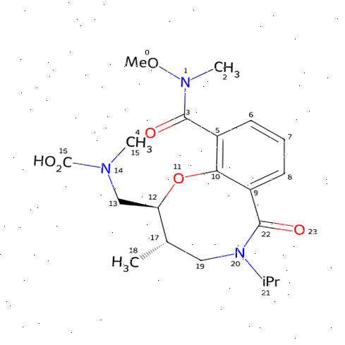 CON(C)C(=O)c1cccc2c1O[C@H](CN(C)C(=O)O)[C@@H](C)CN(C(C)C)C2=O